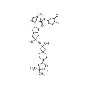 Cn1cnc(C2CC3CC(O)(C#CC4(O)CC5(CCN(C(=O)OC(C)(C)C)CC5)C4)CC3C2)c1C(=O)Nc1ccc(F)c(Cl)c1